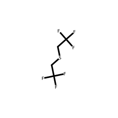 FC(F)(F)CSCC(F)(F)F